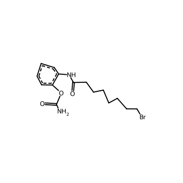 NC(=O)Oc1ccccc1NC(=O)CCCCCCCBr